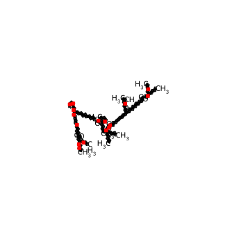 CCCCCC(CCCCC)CCOC(=O)CCCCCCCCCC(CCCCCCCCCC(=O)OCC(C(C)CCCC(CCCCC)CC(=O)OCCCCCCCCCCC(CCCCCCCCCCOC(=O)CC(CCCCC)CCCCC)CCN1CCCC1)C(CCCCC)CCCCC)COCCCN(C)C